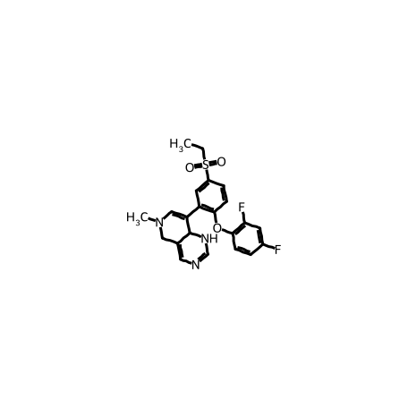 CCS(=O)(=O)c1ccc(Oc2ccc(F)cc2F)c(C2=CN(C)CC3=CN=CNC32)c1